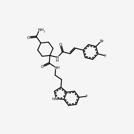 NC(=O)C1CCC(NC(=O)/C=C/c2ccc(F)c(Br)c2)(C(=O)NCCc2c[nH]c3ccc(F)cc23)CC1